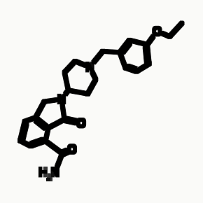 CCOc1cccc(CN2CCC(N3Cc4cccc(C(N)=O)c4C3=O)CC2)c1